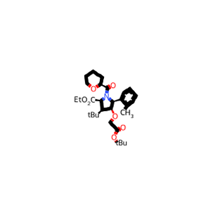 CCOC(=O)[C@@H]1[C@H](C(C)(C)C)[C@H](OCC(=O)OC(C)(C)C)[C@H](c2ccccc2C)N1C(=O)[C@@H]1CCCCO1